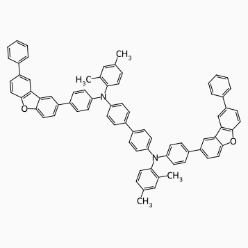 Cc1ccc(N(c2ccc(-c3ccc(N(c4ccc(-c5ccc6oc7ccc(-c8ccccc8)cc7c6c5)cc4)c4ccc(C)cc4C)cc3)cc2)c2ccc(-c3ccc4oc5ccc(-c6ccccc6)cc5c4c3)cc2)c(C)c1